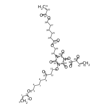 C=CC(=O)OCCCCCC(=O)CCOn1c(=O)n(CCOC(=O)CCCCCOC(=O)C=C)c(=O)n(OC(=O)C(=O)C=C)c1=O